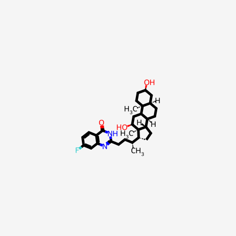 C[C@H](CCc1nc2cc(F)ccc2c(=O)[nH]1)[C@H]1CC[C@H]2[C@@H]3CC[C@@H]4C[C@H](O)CC[C@]4(C)C3C[C@H](O)[C@]12C